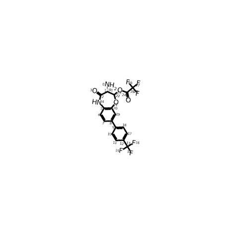 N[C@H]1C(=O)Nc2ccc(-c3ccc(C(F)(F)F)cc3)cc2OC1OC(=O)C(F)(F)F